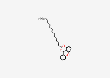 CCCCCCCCCC=CC=CC=CC=CC=CC=CC(=O)OC1c2ccccc2Oc2ccccc21